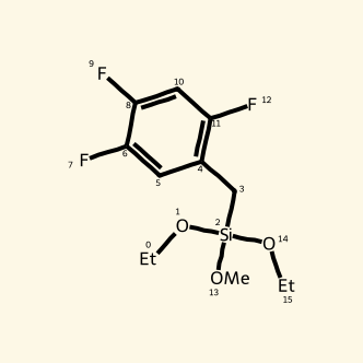 CCO[Si](Cc1cc(F)c(F)cc1F)(OC)OCC